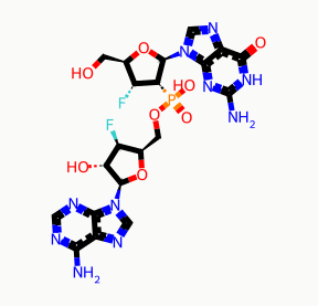 Nc1nc2c(ncn2[C@@H]2O[C@H](CO)[C@@H](F)[C@H]2P(=O)(O)OC[C@H]2O[C@@H](n3cnc4c(N)ncnc43)[C@H](O)[C@H]2F)c(=O)[nH]1